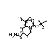 CC(C)(C)OC(=O)N1CCC(CN)CC1C(=O)I